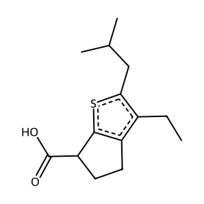 CCc1c(CC(C)C)sc2c1CCC2C(=O)O